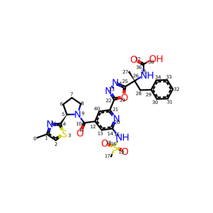 Cc1csc([C@H]2CCCN2C(=O)c2cc(NS(C)(=O)=O)nc(-c3nnc([C@@](C)(Cc4ccccc4)NC(=O)O)o3)c2)n1